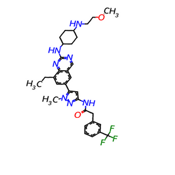 CCc1cc(-c2cc(NC(=O)Cc3cccc(C(F)(F)F)c3)nn2C)cc2cnc(NC3CCC(NCCOC)CC3)nc12